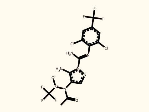 CC(=O)N(c1cnn(C(N)=Nc2c(Cl)cc(C(F)(F)F)cc2Cl)c1N)[S+]([O-])C(F)(F)F